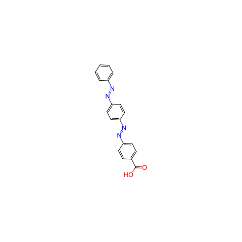 O=C(O)c1ccc(N=Nc2ccc(N=Nc3ccccc3)cc2)cc1